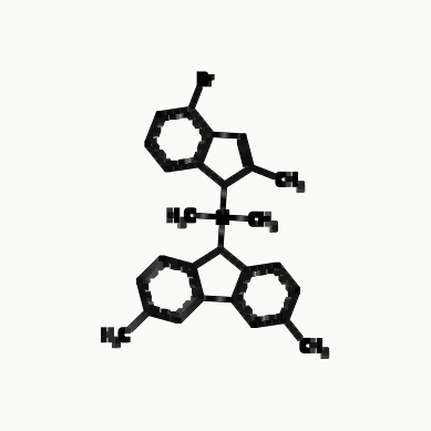 CC1=Cc2c(Br)cccc2C1[Si](C)(C)C1c2ccc(C)cc2-c2cc(C)ccc21